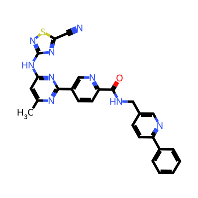 Cc1cc(Nc2nsc(C#N)n2)nc(-c2ccc(C(=O)NCc3ccc(-c4ccccc4)nc3)nc2)n1